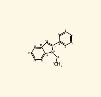 [CH2]Cn1c(-c2ccccc2)cc2ccccc21